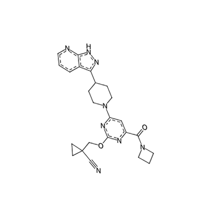 N#CC1(COc2nc(C(=O)N3CCC3)cc(N3CCC(c4n[nH]c5ncccc45)CC3)n2)CC1